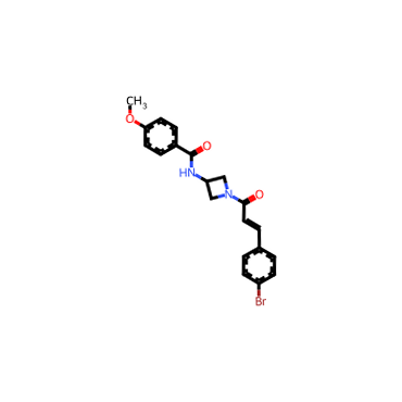 COc1ccc(C(=O)NC2CN(C(=O)/C=C/c3ccc(Br)cc3)C2)cc1